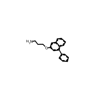 NCCCOc1cc(-c2ccccc2)c2ccccc2c1